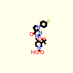 CC(C)(C)C1CN(C(=O)O)CCC1(O)Cn1cnc2c(ccn2-c2ccc(F)cc2)c1=O